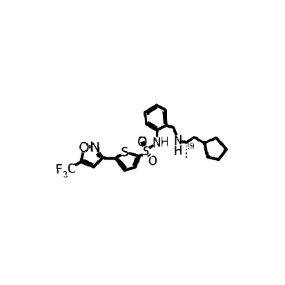 C[C@@H](CC1CCCC1)NCc1ccccc1NS(=O)(=O)c1ccc(-c2cc(C(F)(F)F)on2)s1